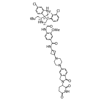 COc1cc(C(=O)NC23CC(N4CCN(c5ccc6c(c5)CN(C5CCC(=O)NC5=O)C6=O)CC4)(C2)C3)ccc1NC(=O)[C@@H]1N[C@@H](CC(C)(C)C)[C@@]2(CNc3cc(Cl)ccc32)[C@H]1c1cccc(Cl)c1F